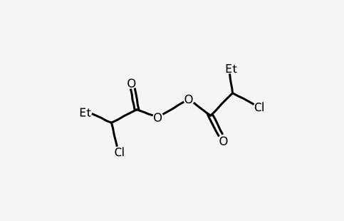 CCC(Cl)C(=O)OOC(=O)C(Cl)CC